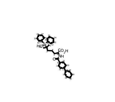 CC(C)(CCC[C@H](NC(=O)c1ccc(-c2ccccc2)cc1)C(=O)O)[Si](O)(c1ccccc1)c1ccccc1